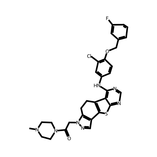 CN1CCN(C(=O)Cn2ncc3c2CCc2c-3sc3ncnc(Nc4ccc(OCc5cccc(F)c5)c(Cl)c4)c23)CC1